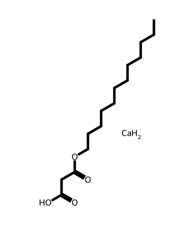 CCCCCCCCCCCCOC(=O)CC(=O)O.[CaH2]